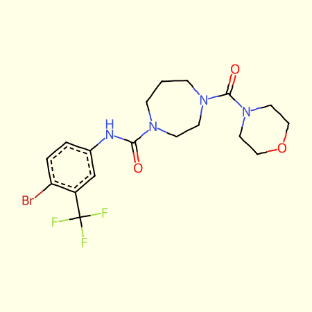 O=C(Nc1ccc(Br)c(C(F)(F)F)c1)N1CCCN(C(=O)N2CCOCC2)CC1